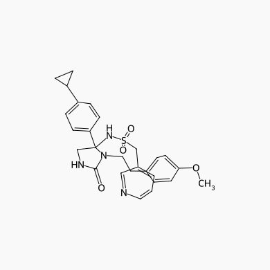 COc1ccc(CCN2C(=O)NCC2(NS(=O)(=O)Cc2cccnc2)c2ccc(C3CC3)cc2)cc1